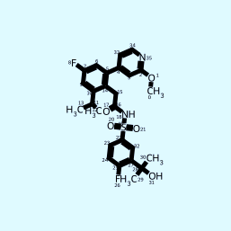 COc1cc(-c2cc(F)cc(C(C)C)c2CC(=O)NS(=O)(=O)c2ccc(F)c(C(C)(C)O)c2)ccn1